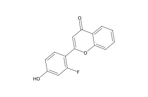 O=c1cc(-c2ccc(O)cc2F)oc2ccccc12